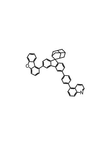 c1cc(-c2ccc(-c3ccc4c(c3)-c3cc(-c5cccc6oc7ccccc7c56)ccc3C43C4CC5CC(C4)CC3C5)cc2)c2cccnc2c1